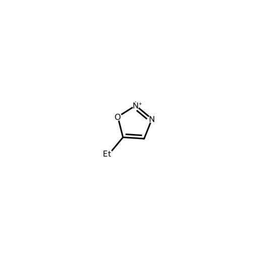 CCC1=CN=[N+]O1